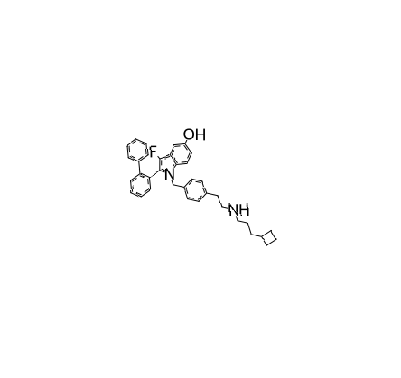 Oc1ccc2c(c1)c(F)c(-c1ccccc1-c1ccccc1)n2Cc1ccc(CCNCCCC2CCC2)cc1